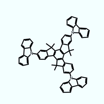 CC1(C)c2cc(-n3c4ccccc4c4ccccc43)ccc2-c2c1c1c(c3c2C(C)(C)c2cc(-n4c5ccccc5c5ccccc54)ccc2-3)C(C)(C)c2cc(-n3c4ccccc4c4ccccc43)ccc2-1